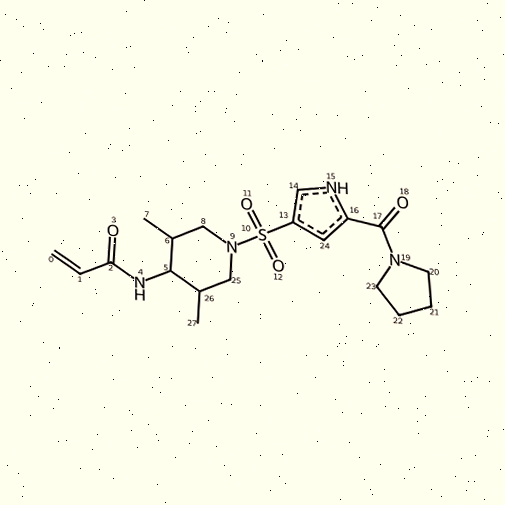 C=CC(=O)NC1C(C)CN(S(=O)(=O)c2c[nH]c(C(=O)N3CCCC3)c2)CC1C